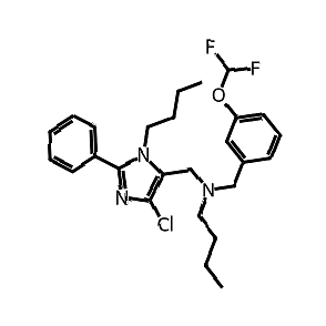 CCCCN(Cc1cccc(OC(F)F)c1)Cc1c(Cl)nc(-c2ccccc2)n1CCCC